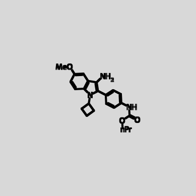 CCCOC(=O)Nc1ccc(-c2c(N)c3cc(OC)ccc3n2C2CCC2)cc1